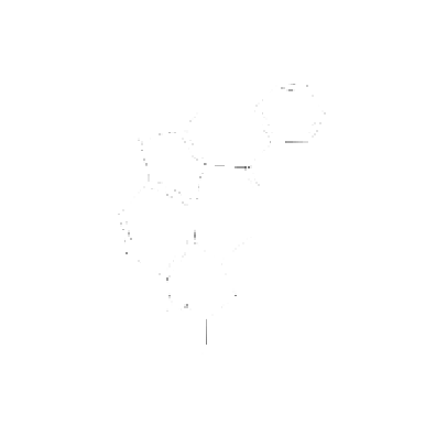 COc1ccc2[nH]c(C)c(C(=O)c3ccccc3)c2c1C(C)CCOC(C)=O